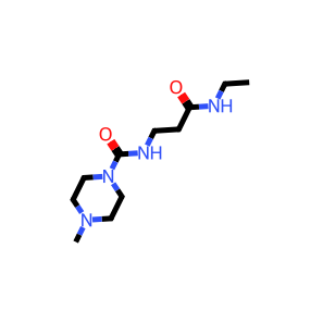 CCNC(=O)CCNC(=O)N1CCN(C)CC1